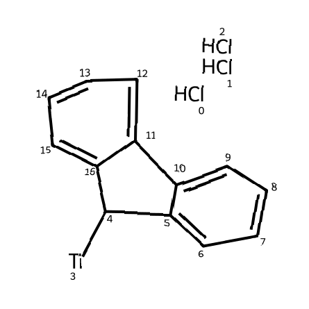 Cl.Cl.Cl.[Ti][CH]1c2ccccc2-c2ccccc21